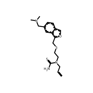 C=CCN(CCSCc1occ2ccc(CN(C)C)cc12)C(N)=S